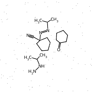 CC(C)N=NC1(C#N)CCCCC1.CC(C)NN.O=C1CCCCC1